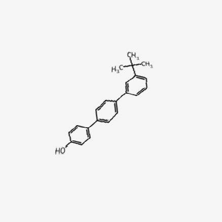 CC(C)(C)c1cccc(-c2ccc(-c3ccc(O)cc3)cc2)c1